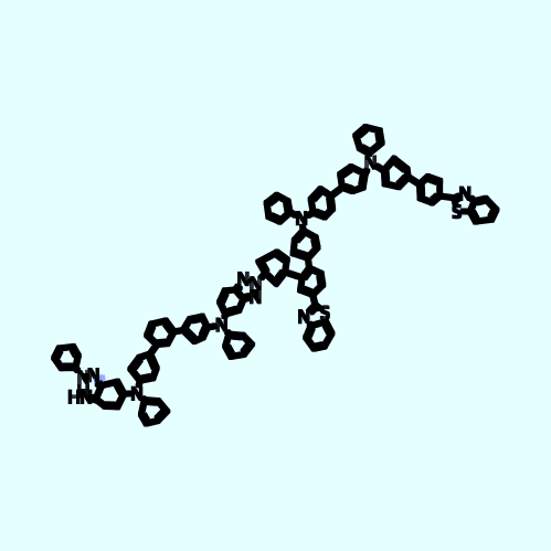 N=C1C=CC(N(c2ccccc2)c2ccc(-c3cccc(-c4ccc(N(c5ccccc5)c5ccc6nn(-c7cccc(-c8cc(-c9nc%10ccccc%10s9)ccc8-c8ccc(N(c9ccccc9)c9ccc(-c%10ccc(N(c%11ccccc%11)c%11ccc(-c%12ccc(-c%13nc%14ccccc%14s%13)cc%12)cc%11)cc%10)cc9)cc8)c7)nc6c5)cc4)c3)cc2)=C/C1=N/Nc1ccccc1